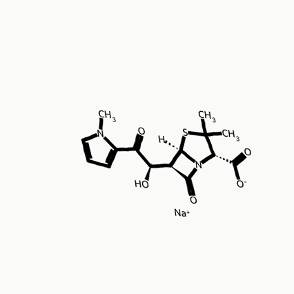 Cn1cccc1C(=O)[C@H](O)[C@@H]1C(=O)N2[C@@H]1SC(C)(C)[C@@H]2C(=O)[O-].[Na+]